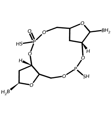 BC1OC2COP(=O)(S)O[C@H]3C[C@H](B)OC3COP(S)O[C@@H]1C2